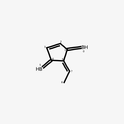 B=C1C=CC(=B)C1=CC